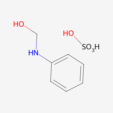 O=S(=O)(O)O.OCNc1ccccc1